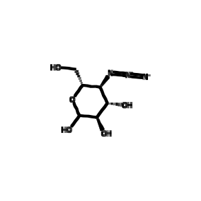 [N-]=[N+]=N[C@H]1[C@H](O)[C@@H](O)C(O)O[C@@H]1CO